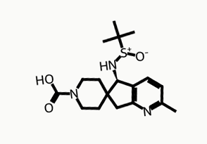 Cc1ccc2c(n1)CC1(CCN(C(=O)O)CC1)[C@H]2N[S+]([O-])C(C)(C)C